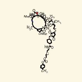 COc1cc2cc(c1Cl)N(C)C(=O)C[C@H](OC(=O)[C@H](C)N(C)C(=O)CCS[C@H]1CC(=O)N(C[C@H]3CC[C@H](C(=O)NCCOCCOC(=O)Oc4ccc(C)cc4)CC3)C1=O)[C@]1(C)O[C@H]1[C@H](C)[C@@H]1C[C@@](O)(NC(=O)O1)[C@H](OC)/C=C/CC(C)C2